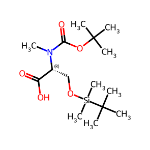 CN(C(=O)OC(C)(C)C)[C@H](CO[Si](C)(C)C(C)(C)C)C(=O)O